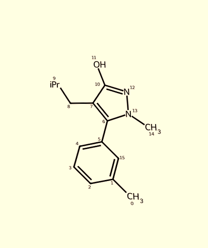 Cc1cccc(-c2c(CC(C)C)c(O)nn2C)c1